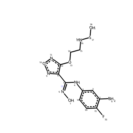 Bc1cc(N/C(=N\O)c2nonc2OCCNSO)ccc1F